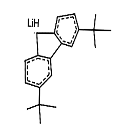 CC(C)(C)c1ccc2c(c1)-c1cc(C(C)(C)C)ccc1[CH]2.[LiH]